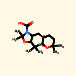 CC1(C)CC[C@H](CC2C(C(C)(C)C)OC(C)(C)N2C(=O)O)CO1